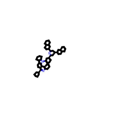 c1ccc(-c2nc3ccccc3c3c2ccc2c4ccccc4n(-c4cccc(-c5cc(-c6ccc7ccccc7c6)cc(-c6ccc7ccccc7c6)n5)c4)c23)cc1